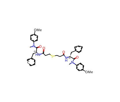 COc1ccc(N(C)C(=O)[C@H](Cc2ccccc2)NC(=O)CCSCCC(=O)N[C@@H](Cc2ccccc2)C(=O)N(C)c2ccc(OC)cc2)cc1